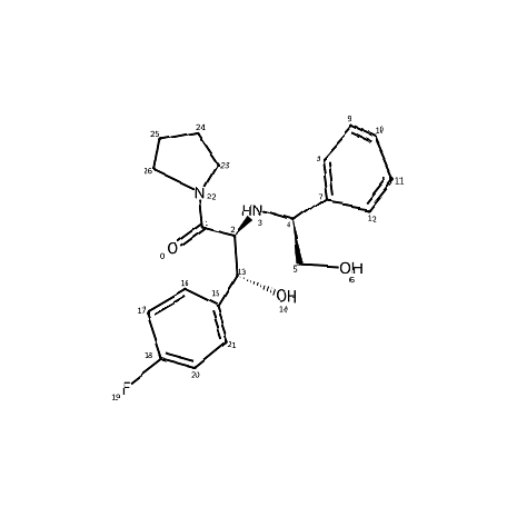 O=C([C@@H](N[C@H](CO)c1ccccc1)[C@H](O)c1ccc(F)cc1)N1CCCC1